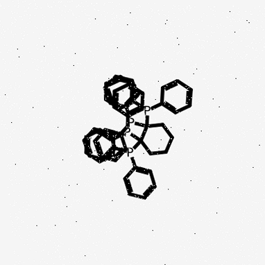 c1ccc(P(c2ccccc2)C2(P(c3ccccc3)c3ccccc3)CCCCC2(P(c2ccccc2)c2ccccc2)P(c2ccccc2)c2ccccc2)cc1